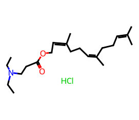 CCN(CC)CCC(=O)OCC=C(C)CCC=C(C)CCC=C(C)C.Cl